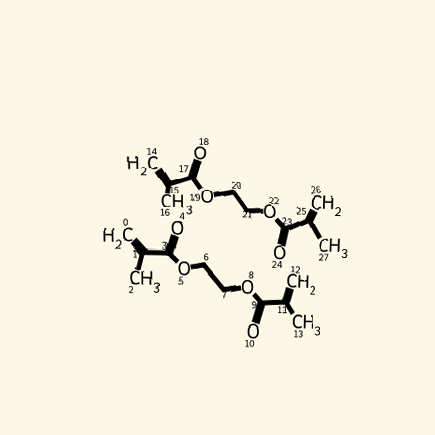 C=C(C)C(=O)OCCOC(=O)C(=C)C.C=C(C)C(=O)OCCOC(=O)C(=C)C